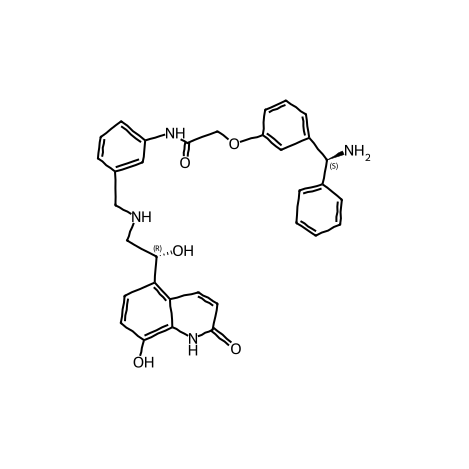 N[C@@H](c1ccccc1)c1cccc(OCC(=O)Nc2cccc(CNC[C@H](O)c3ccc(O)c4[nH]c(=O)ccc34)c2)c1